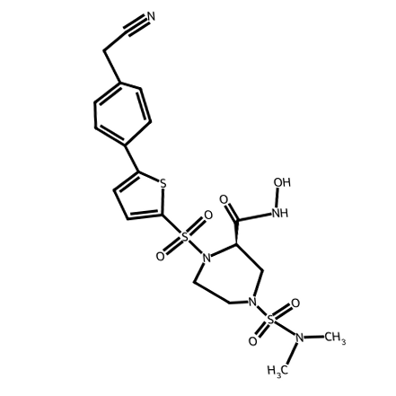 CN(C)S(=O)(=O)N1CCN(S(=O)(=O)c2ccc(-c3ccc(CC#N)cc3)s2)[C@@H](C(=O)NO)C1